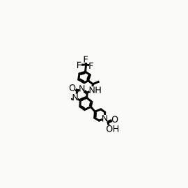 CC(Nc1nc(=O)n(C)c2ccc(C3=CCN(C(=O)O)CC3)cc12)c1cccc(C(F)(F)F)c1